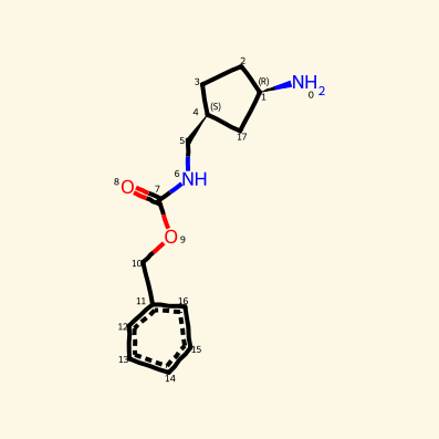 N[C@@H]1CC[C@H](CNC(=O)OCc2ccccc2)C1